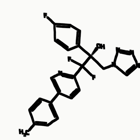 Cc1ccc(-c2ccc(C(F)(F)[C@](O)(Cn3cnnn3)c3ccc(F)cc3)nc2)cc1